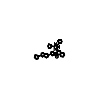 c1ccc(-c2ccc3cc(-c4ccc5c(c4)oc4c6ccccc6cc(-c6nc(-c7ccccc7)nc(-c7ccccc7)n6)c54)ccc3c2)cc1